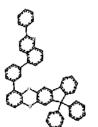 c1ccc(-c2ccc3c(-c4cccc(-c5cccc6c5Oc5cc7c(cc5O6)C(c5ccccc5)(c5ccccc5)c5ccccc5-7)c4)cccc3n2)cc1